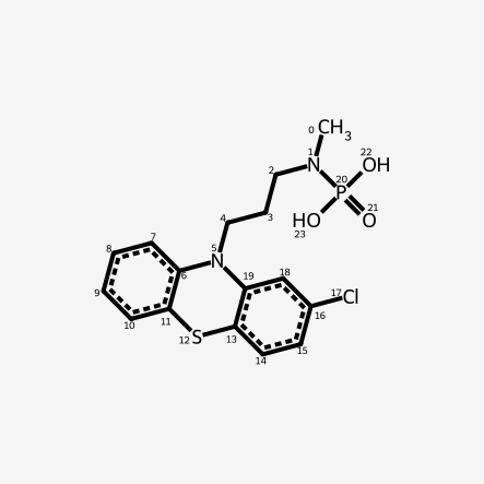 CN(CCCN1c2ccccc2Sc2ccc(Cl)cc21)P(=O)(O)O